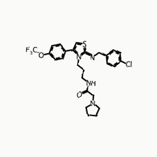 O=C(CN1CCCC1)NCCCn1c(-c2ccc(OC(F)(F)F)cc2)csc1=NCc1ccc(Cl)cc1